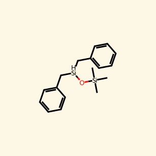 C[Si](C)(C)O[SiH](Cc1ccccc1)Cc1ccccc1